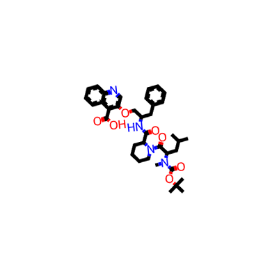 CC(C)CC(C(=O)N1CCCCC1C(=O)NC(COc1cnc2ccccc2c1C(=O)O)Cc1ccccc1)N(C)C(=O)OC(C)(C)C